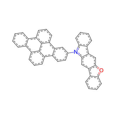 c1ccc2c(c1)oc1cc3c4ccccc4n(-c4ccc5c(c4)c4cccc6c7ccccc7c7cccc5c7c64)c3cc12